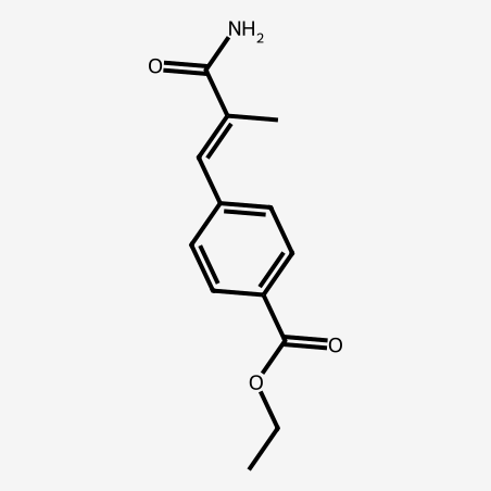 CCOC(=O)c1ccc(/C=C(\C)C(N)=O)cc1